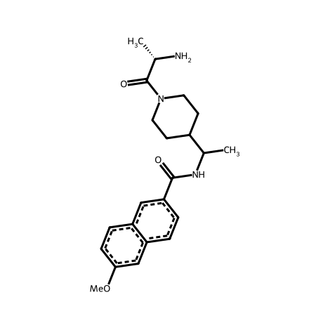 COc1ccc2cc(C(=O)NC(C)C3CCN(C(=O)[C@H](C)N)CC3)ccc2c1